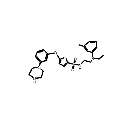 CCN(CCNS(=O)(=O)c1ccc(Oc2cccc(N3CCNCC3)c2)s1)c1cccc(C)c1